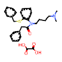 CN(C)CCCCN(C(=O)Cc1ccccc1)c1ccccc1SCc1ccccc1.O=C(O)C(=O)O